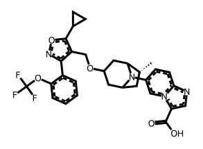 C[C@@H]1CC2CC(OCc3c(-c4ccccc4OC(F)(F)F)noc3C3CC3)CC1N2c1ccc2ncc(C(=O)O)n2c1